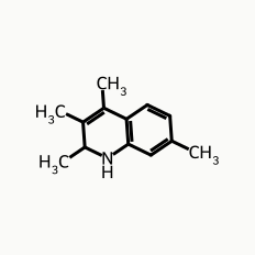 CC1=C(C)C(C)Nc2cc(C)ccc21